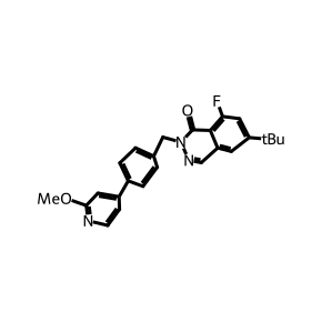 COc1cc(-c2ccc(Cn3ncc4cc(C(C)(C)C)cc(F)c4c3=O)cc2)ccn1